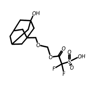 O=C(OCOCC12CC3CC(CC(O)(C3)C1)C2)C(F)(F)S(=O)(=O)O